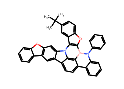 CC(C)(C)c1ccc2oc3c(c2c1)-n1c2cc4oc5ccccc5c4cc2c2ccc4c(c21)B3N(c1ccccc1)c1ccccc1-4